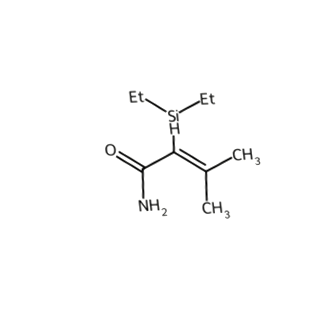 CC[SiH](CC)C(C(N)=O)=C(C)C